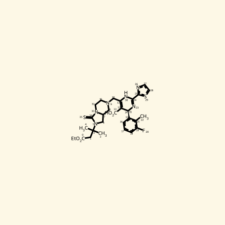 CCOC(=O)CC(C)(C)N1CC2CN(CC3=C(C(=O)O)[C@H](c4cccc(F)c4C)N=C(c4nccs4)N3)CCN2C1=S